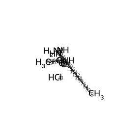 CCCCCCCCCCCCCCCCCCCCCC(=O)N[C@@H](CCCNC(=N)N)C(=O)OCCCCCC.Cl